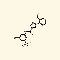 CS(=O)(=O)c1cc(Br)cc(NC(=O)c2cnn(-c3ccccc3C=O)c2)c1